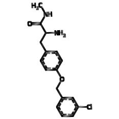 CNC(=O)C(N)Cc1ccc(OCc2cccc(Cl)c2)cc1